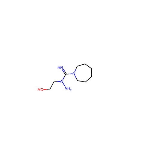 N=C(N(N)CCO)N1CCCCCC1